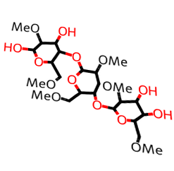 COCC1OC(OC2C(COC)OC(O)C(OC)C2O)C(OC)CC1OC1OC(COC)C(O)C(O)C1OC